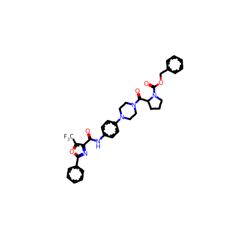 O=C(Nc1ccc(N2CCN(C(=O)C3CCCN3C(=O)OCc3ccccc3)CC2)cc1)c1nc(-c2ccccc2)oc1C(F)(F)F